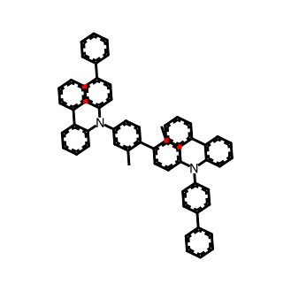 Cc1cc(N(c2ccc(-c3ccccc3)cc2)c2ccccc2-c2ccccc2)ccc1-c1ccc(N(c2ccc(-c3ccccc3)cc2)c2ccccc2-c2ccccc2)cc1C